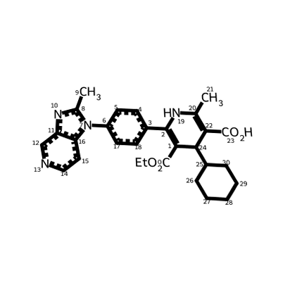 CCOC(=O)C1=C(c2ccc(-n3c(C)nc4cnccc43)cc2)NC(C)=C(C(=O)O)C1C1CCCCC1